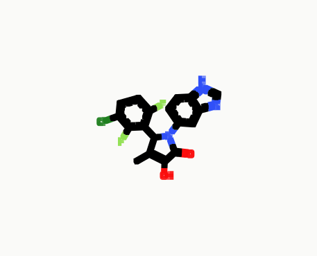 CC1=C(O)C(=O)N(c2ccc3[nH]cnc3c2)C1c1c(F)ccc(Cl)c1F